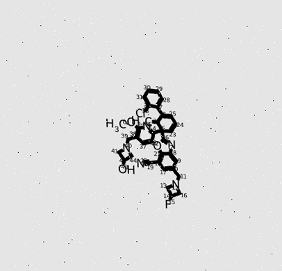 COc1nc(C2(c3nc4cc(CN5CC(F)C5)cc(C#N)c4o3)C=CC=C(c3ccccc3Cl)C2C)ccc1CN1CC(O)C1